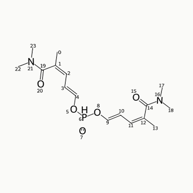 C/C(=C/C=C/O[PH](=O)O/C=C/C=C(/C)C(=O)N(C)C)C(=O)N(C)C